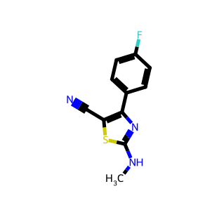 CNc1nc(-c2ccc(F)cc2)c(C#N)s1